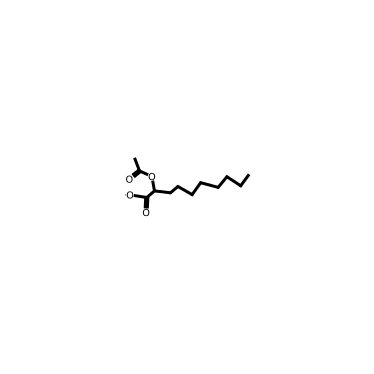 CCCCCCCCC(OC(C)=O)C([O])=O